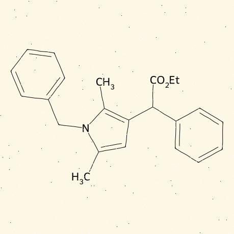 CCOC(=O)C(c1ccccc1)c1cc(C)n(Cc2ccccc2)c1C